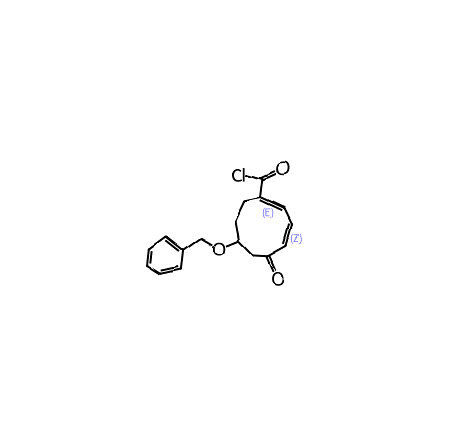 O=C1/C=C\C=C(\C(=O)Cl)CCC(OCc2ccccc2)C1